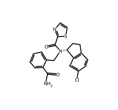 NC(=O)c1ccccc1CN(C(=O)c1nccs1)[C@@H]1CCc2ccc(Cl)cc21